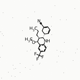 CCC[C@@H]1[C@H](OC)c2cc(C(F)(F)F)ccc2N[C@H]1C1C=CC=C(C#N)C1